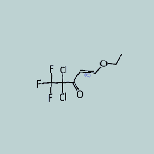 CCO/C=C/C(=O)C(Cl)(Cl)C(F)(F)F